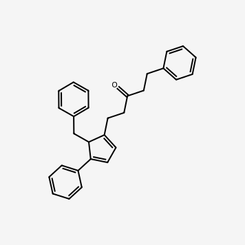 O=C(CCC1=CC=C(c2ccccc2)C1Cc1ccccc1)CCc1ccccc1